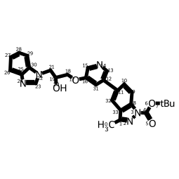 Cc1nn(C(=O)OC(C)(C)C)c2ccc(-c3cncc(OCC(O)Cn4cnc5ccccc54)c3)cc12